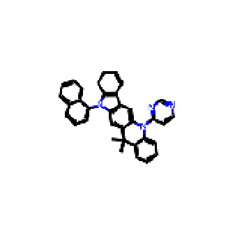 CC1(C)c2ccccc2N(c2ccncn2)c2cc3c4c(n(-c5cccc6ccccc56)c3cc21)CCC=C4